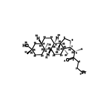 CC(C)CCC(=O)[C@@H](C)[C@H]1CC[C@H]2[C@@H]3CC[C@H]4C[C@@](C)(O)CC[C@]4(C)[C@H]3CC[C@]12C